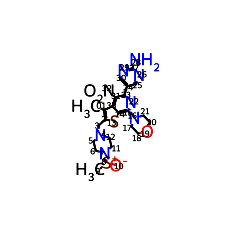 Cc1c(CN2CCN([S+](C)[O-])CC2)sc2c(N3CCOCC3)nc(-c3cnc(N)nc3)c([N+](=O)[O-])c12